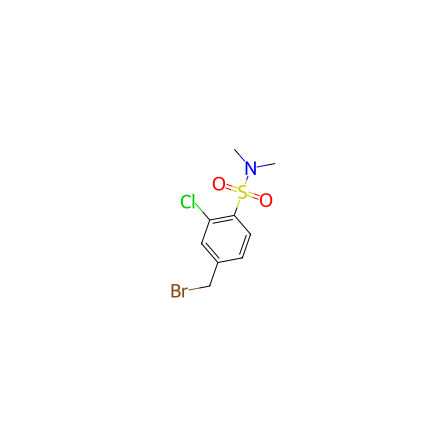 CN(C)S(=O)(=O)c1ccc(CBr)cc1Cl